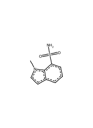 Cn1ccc2cccc(S(N)(=O)=O)c21